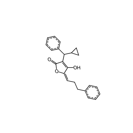 O=C1OC(=CCCc2ccccc2)C(O)=C1C(c1ccccc1)C1CC1